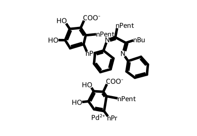 CCCCCC(=Nc1ccccc1)C(CCCC)=Nc1ccccc1.CCCCCc1c(CCC)cc(O)c(O)c1C(=O)[O-].CCCCCc1c(CCC)cc(O)c(O)c1C(=O)[O-].[Pd+2]